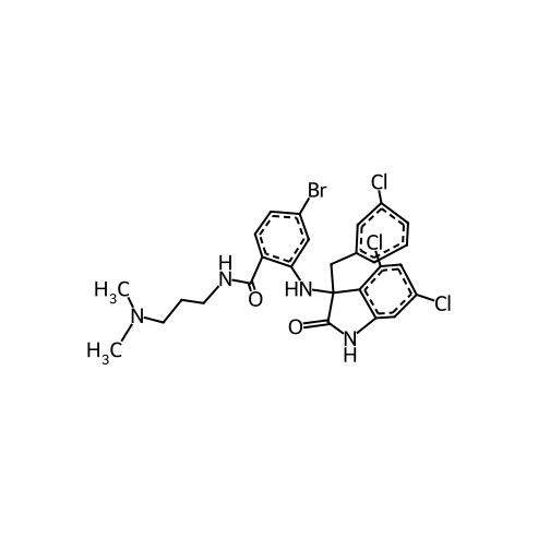 CN(C)CCCNC(=O)c1ccc(Br)cc1NC1(Cc2cccc(Cl)c2)C(=O)Nc2cc(Cl)cc(Cl)c21